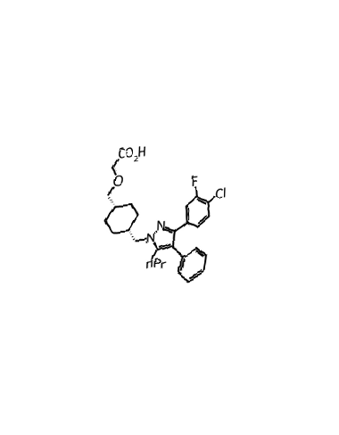 CCCc1c(-c2ccccc2)c(-c2ccc(Cl)c(F)c2)nn1C[C@H]1CC[C@@H](COCC(=O)O)CC1